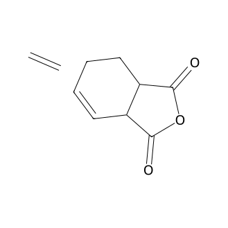 C=C.O=C1OC(=O)C2CCC=CC12